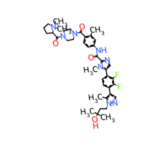 Cc1cc(NC(=O)c2ncc(-c3ccc(-c4cnn(CCC(C)(C)O)c4C)c(F)c3F)n2C)ccc1C(=O)N1CCN(C(=O)C2CCC[N+]2(C)C)CC1